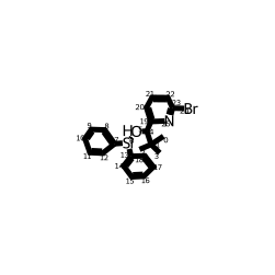 CC(C)(C)C(O[SiH](c1ccccc1)c1ccccc1)c1cccc(Br)n1